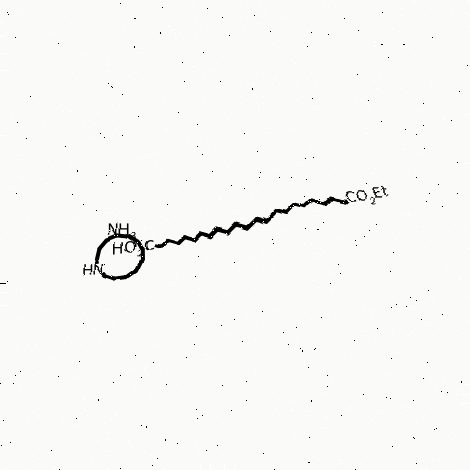 C1CCCCCCNCCCCC1.CCOC(=O)CCCCCCCCCCCCCCCCCCCCCC(=O)O.N